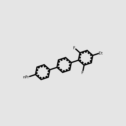 CCCc1ccc(-c2ccc(-c3c(F)cc(CC)cc3F)cc2)cc1